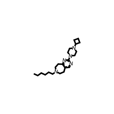 CCCCCCN1CCc2cnc(N3CCN(C4CCC4)CC3)nc2CC1